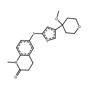 COC1(c2csc(Sc3ccc4c(c3)CCC(=O)N4C)c2)CCOCC1